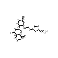 O=C(O)C1CCN(CCOc2cc(Br)ccc2-c2cc(=O)c3cccc(Cl)c3o2)C1